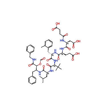 Cc1ccccc1C[C@H](NC(=O)[C@H](CCC(=O)O)NC(=O)[C@H](CC(=O)O)NC(=O)CCC(=O)O)C(=O)N[C@H](C(=O)N[C@@H](CC(C)C)C(=O)NC(Cc1ccccc1)C(OC=O)C(=O)NCc1ccccc1)C(C)(C)C